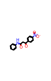 O=C(CC(=O)c1ccc([N+](=O)[O-])cc1)Nc1ccccc1